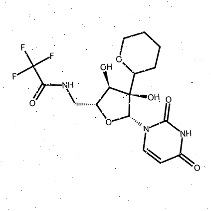 O=C(NC[C@H]1O[C@@H](n2ccc(=O)[nH]c2=O)[C@@](O)(C2CCCCO2)[C@@H]1O)C(F)(F)F